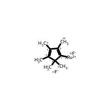 CC1=C(C)C(C)(C)[C]([Ru+2])=C1C.[F-].[F-]